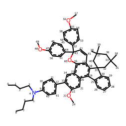 CCCCN(CCCC)c1ccc(-c2cc3c4c(c5c(c3cc2OC)-c2ccccc2C52CC(C)(C)CC(C)(C)C2)C=CC(c2ccc(OC)cc2)(c2ccc(OC)cc2)O4)cc1